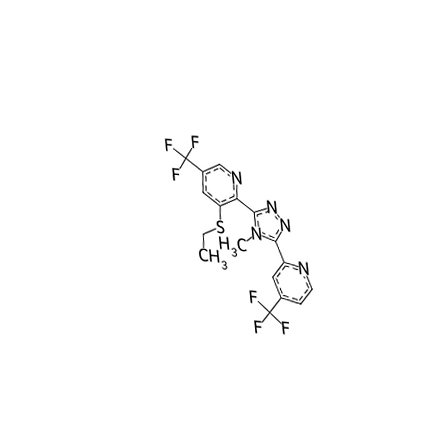 CCSc1cc(C(F)(F)F)cnc1-c1nnc(-c2cc(C(F)(F)F)ccn2)n1C